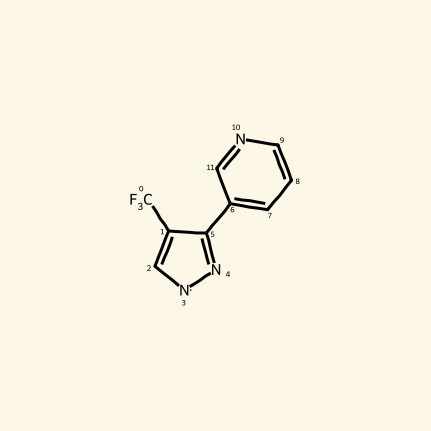 FC(F)(F)C1=C[N]N=C1c1cccnc1